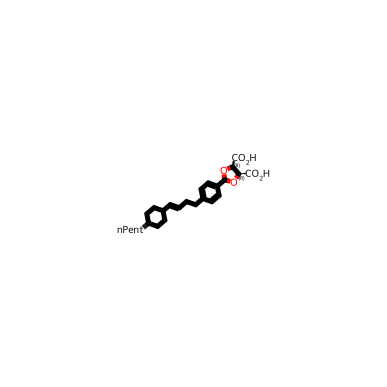 CCCCCC1CCC(C=CCCc2ccc(C3O[C@@H](C(=O)O)[C@H](C(=O)O)O3)cc2)CC1